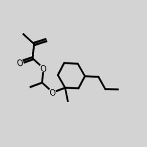 C=C(C)C(=O)OC(C)OC1(C)CCCC(CCC)C1